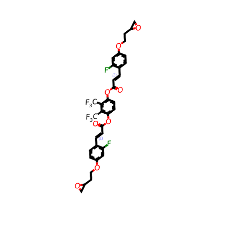 O=C(/C=C/c1ccc(OCCC2CO2)cc1F)Oc1ccc(OC(=O)/C=C/c2ccc(OCCC3CO3)cc2F)c(C(F)(F)F)c1C(F)(F)F